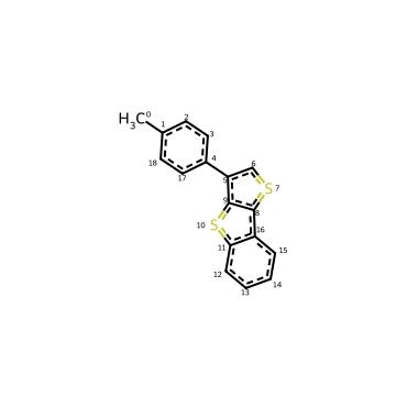 Cc1ccc(-c2csc3c2sc2ccccc23)cc1